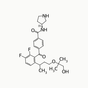 CC(CCOC(C)(C)CO)c1ccc(F)c(F)c1C(=O)c1ccc(C(=O)N[C@H]2CCNC2)cc1